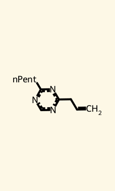 C=CCc1ncnc(CCCCC)n1